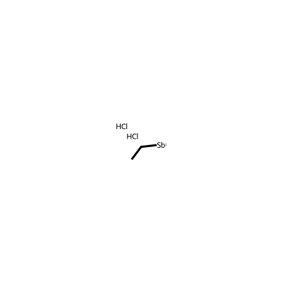 C[CH2][Sb].Cl.Cl